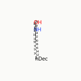 CCCCCCCCCCCCCCCCCCCCCCCCCNCCCO